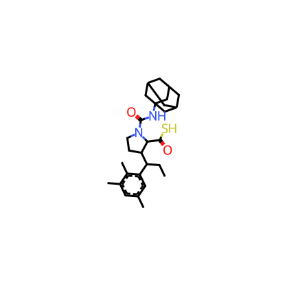 CCC(c1cc(C)cc(C)c1C)C1CCN(C(=O)NC23CC4CC(CC(C4)C2)C3)C1C(=O)S